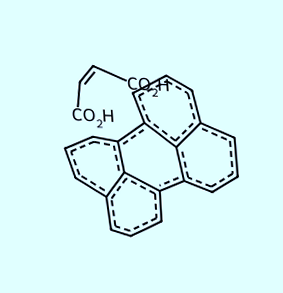 O=C(O)/C=C\C(=O)O.c1cc2cccc3c4cccc5cccc(c(c1)c23)c54